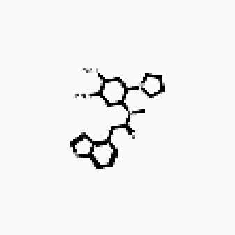 COC1CC(N2CCCC2)C(N(C)C(=O)Cc2cccc3sccc23)CC1OC